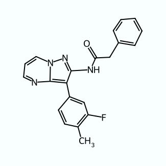 Cc1ccc(-c2c(NC(=O)Cc3ccccc3)nn3cccnc23)cc1F